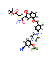 CC(C)(C)OC(=O)CC[C@@H](C(N)=O)C1Cc2c(OCc3ccc(CN4CCN(c5ccc(C#N)cc5OC(F)F)CC4)cc3F)cccc2C1=O